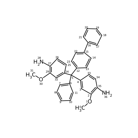 COc1cc(C(c2ccccc2)(c2ccc(-c3ccccc3)cc2)c2ccc(N)c(OC)c2)ccc1N